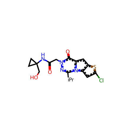 CC(C)c1nn(CC(=O)NC2(CO)CC2)c(=O)c2cc3sc(Cl)cc3n12